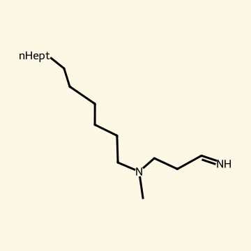 CCCCCCCCCCCCCN(C)CCC=N